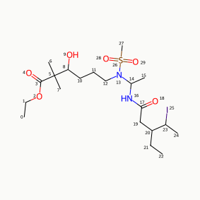 CCOC(=O)C(C)(C)C(O)CCCN(C(C)NC(=O)CC(CC)C(C)I)S(C)(=O)=O